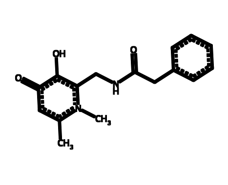 Cc1cc(=O)c(O)c(CNC(=O)Cc2ccccc2)n1C